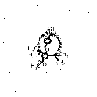 CCCC1(CC)CCCCCCCCCCCCCCCC(CC)(CC)c2cc(C(=O)OC)cc(c2OCc2ccc(C(=O)OC)cc2)C1